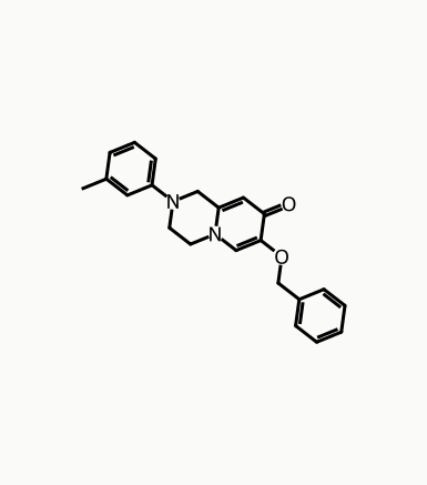 Cc1cccc(N2CCn3cc(OCc4ccccc4)c(=O)cc3C2)c1